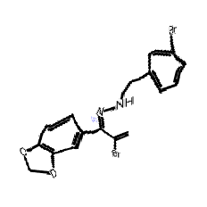 C=C(Br)/C(=N\NCc1cccc(Br)c1)c1ccc2c(c1)OCO2